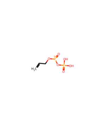 C=CCO[PH](=O)OP(=O)(O)O